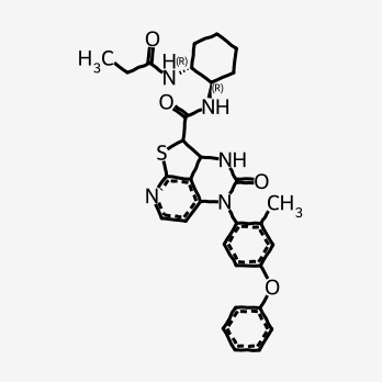 CCC(=O)N[C@@H]1CCCC[C@H]1NC(=O)C1Sc2nccc3c2C1NC(=O)N3c1ccc(Oc2ccccc2)cc1C